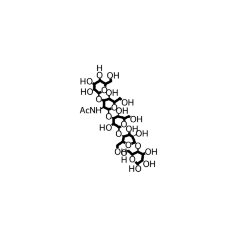 CC(=O)N[C@H]1C(O[C@@H]2OC(CO)C(O)C(O)[C@@H]2O)[C@@H](O)C(CO)O[C@H]1O[C@@H]1C(O)[C@H](O[C@H]2C(CO)O[C@@H](O[C@@H]3C(CO)OC(O)[C@@H](O)C3O)[C@@H](O)C2O)OC(CO)[C@H]1O